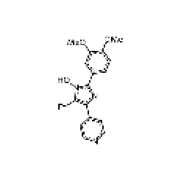 CCc1c(-c2ccncc2)nc(-c2ccc(OC)c(OC)c2)n1O